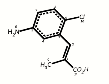 C/C(=C\c1cc(N)ccc1Cl)C(=O)O